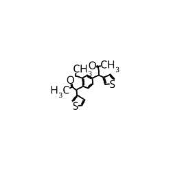 CCc1cc(C(C(C)=O)c2ccsc2)ccc1C(C(C)=O)c1ccsc1